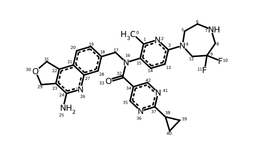 Cc1nc(N2CCNCC(F)(F)C2)ccc1N(Cc1ccc2c3c(c(N)nc2c1)COC3)C(=O)c1cnc(C2CC2)nc1